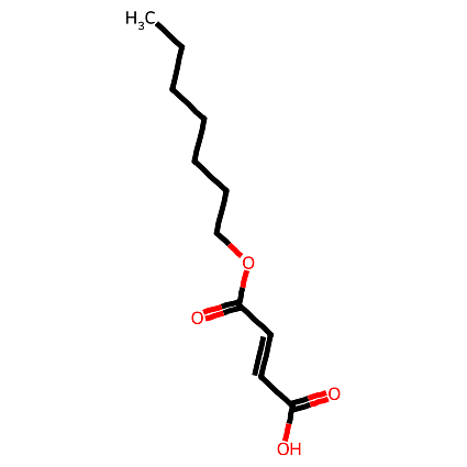 CCCCCCCOC(=O)C=CC(=O)O